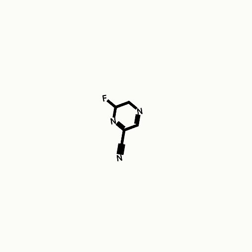 N#CC1=NC(F)CN=C1